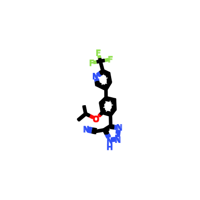 CC(C)Oc1cc(-c2ccc(C(F)(F)F)nc2)ccc1-c1nn[nH]c1C#N